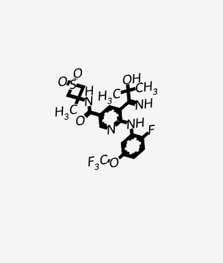 CC1(NC(=O)c2cnc(Nc3cc(OC(F)(F)F)ccc3F)c(C(=N)C(C)(C)O)c2)CS(=O)(=O)C1